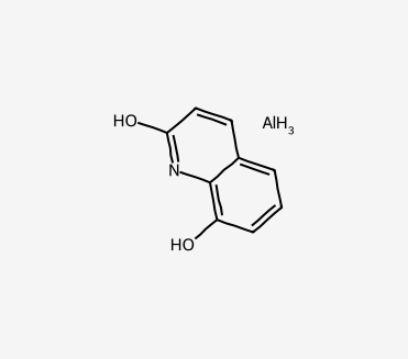 Oc1ccc2cccc(O)c2n1.[AlH3]